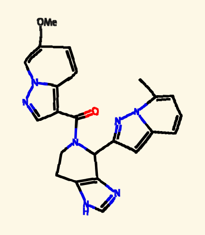 COc1ccc2c(C(=O)N3CCc4[nH]cnc4C3c3cc4cccc(C)n4n3)cnn2c1